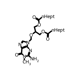 CCCCCCCC(=O)OCC(COC(=O)CCCCCCC)OCn1cnc2c(=O)n(C)c(N)nc21